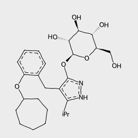 CC(C)c1[nH]nc(O[C@@H]2O[C@H](CO)[C@@H](O)[C@H](O)[C@H]2O)c1Cc1ccccc1OC1CCCCCC1